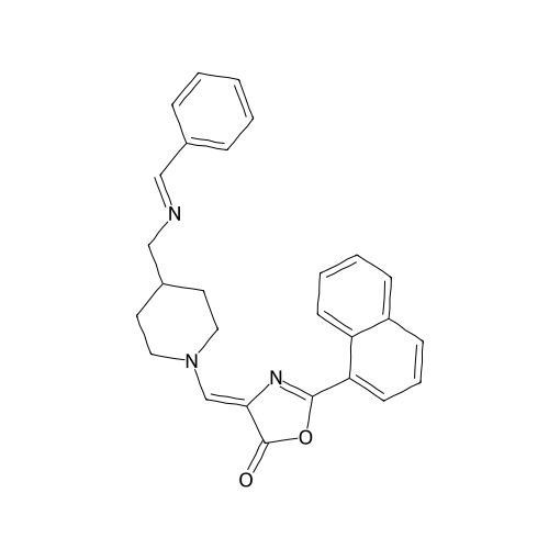 O=C1OC(c2cccc3ccccc23)=NC1=CN1CCC(CN=Cc2ccccc2)CC1